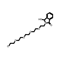 O=C1c2ccccc2C(O)N1CCOCCOCCOCCOCCCl